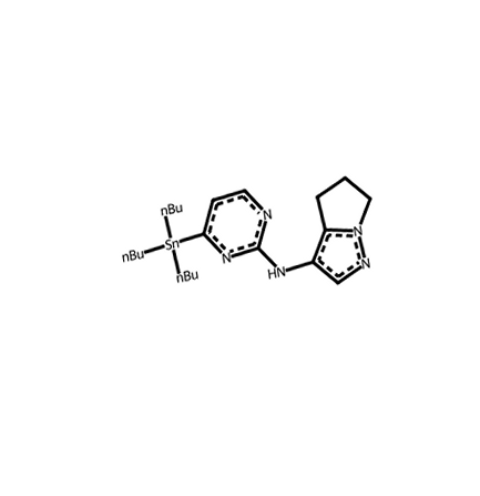 CCC[CH2][Sn]([CH2]CCC)([CH2]CCC)[c]1ccnc(Nc2cnn3c2CCC3)n1